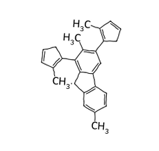 CC1=C(c2cc3c(c(C4=C(C)C=CC4)c2C)[CH]c2cc(C)ccc2-3)CC=C1